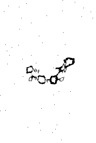 Cc1c(-c2cc(N3CCN(C(=O)[C@@H]4CCCN4)CC3)ccc2Cl)nc2ccccn12